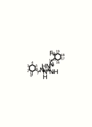 Cc1ccccc1/C=N/NC(=N)N/N=C/c1ccccc1F